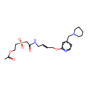 CC(=O)OCCS(=O)(=O)CC(=O)NCC=CCOc1cc(CN2CCCCC2)ccn1